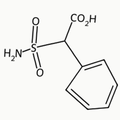 NS(=O)(=O)C(C(=O)O)c1ccccc1